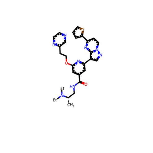 CCN(CC)[C@@H](C)CNC(=O)c1cc(OCCc2cnccn2)nc(-c2cnn3ccc(-c4cccs4)nc23)c1